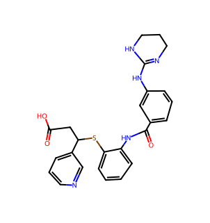 O=C(O)CC(Sc1ccccc1NC(=O)c1cccc(NC2=NCCCN2)c1)c1cccnc1